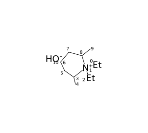 CC[N+]1(CC)C(C)CCCC1C.[OH-]